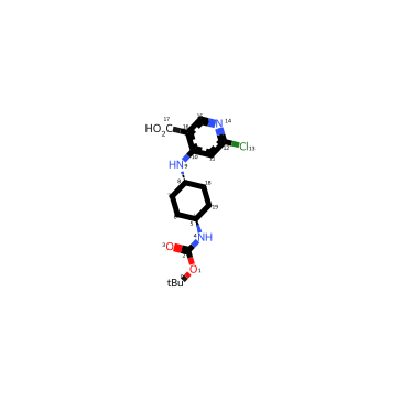 CC(C)(C)OC(=O)N[C@H]1CC[C@H](Nc2cc(Cl)ncc2C(=O)O)CC1